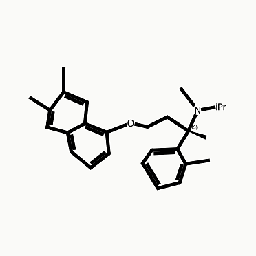 Cc1cc2cccc(OCC[C@@](C)(c3ccccc3C)N(C)C(C)C)c2cc1C